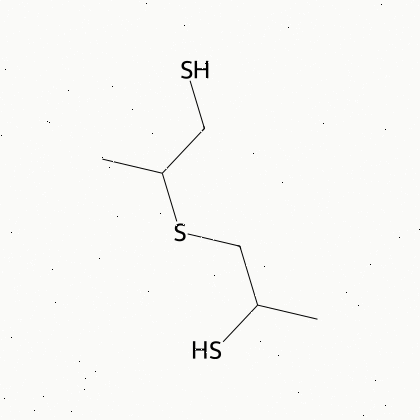 CC(S)CSC(C)CS